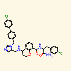 NC(=O)[C@H](Cc1ccc(Cl)cc1)NC(=O)c1cccc2c1OCCC2NCc1cncn1Cc1ccc(-c2ccc(Cl)cc2)cc1